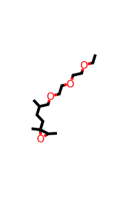 CCOCCOCCOCC(C)CCC1(C)OC1C